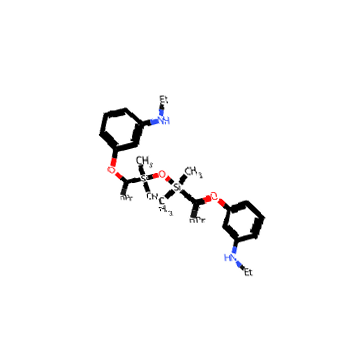 CCCC(Oc1cccc(NCC)c1)[Si](C)(C)O[Si](C)(C)C(CCC)Oc1cccc(NCC)c1